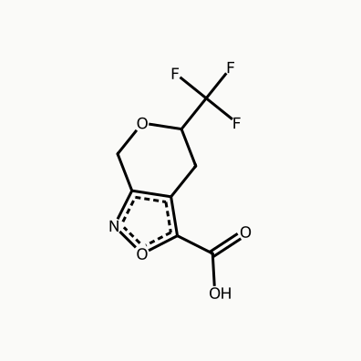 O=C(O)c1onc2c1CC(C(F)(F)F)OC2